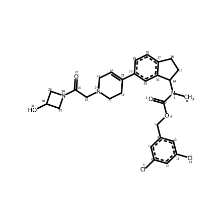 CN(C(=O)OCc1cc(Cl)cc(Cl)c1)C1CCc2ccc(C3=CCN(CC(=O)N4CC(O)C4)CC3)cc21